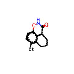 CCc1ccc2c3c1CCCC3C(=O)NO2